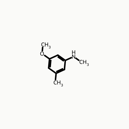 CNc1cc(C)cc(OC)c1